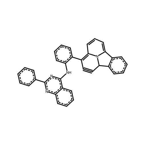 C1#CC2c3ccccc3C3=CC=CC(=C1c1ccccc1Nc1nc(-c4ccccc4)nc4ccccc14)N32